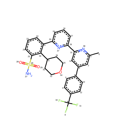 Cc1cc(-c2ccc(C(F)(F)F)cc2)cc(-c2cccc(-c3cccc(S(N)(=O)=O)c3C3CCOCC3)n2)n1